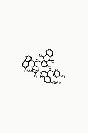 CCC1CN2CCC1CC2C(Oc1ccc(OC(c2ccnc3ccc(OC)cc23)C2CC3CCN2CC3CC)c2c1C(=O)c1ccccc1C2=O)c1ccnc2ccc(OC)cc12